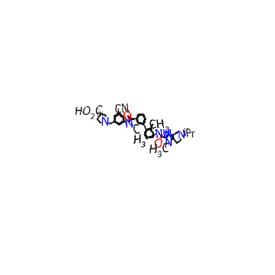 Cc1c(NC(=O)c2nc3c(n2C)CCN(C(C)C)C3)cccc1-c1cccc(-c2nc3cc(CN4CC[C@H](C(=O)O)C4)cc(C#N)c3o2)c1C